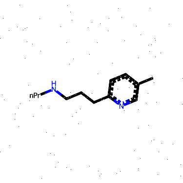 CCCNCCCc1ccc(C)cn1